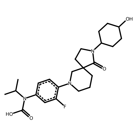 CC(C)N(C(=O)O)c1ccc(N2CCCC3(CCN(C4CCC(O)CC4)C3=O)C2)c(F)c1